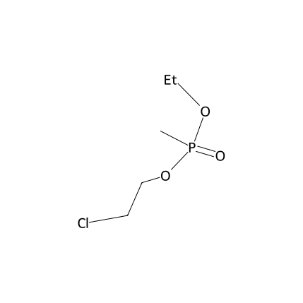 CCOP(C)(=O)OCCCl